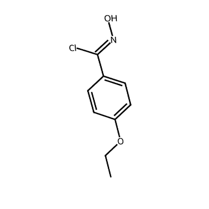 CCOc1ccc(C(Cl)=NO)cc1